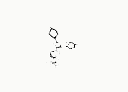 CS(=O)(=O)c1ccc(-c2nc(-c3ccc(F)cc3)oc2Sc2ccc(Cl)cn2)nn1